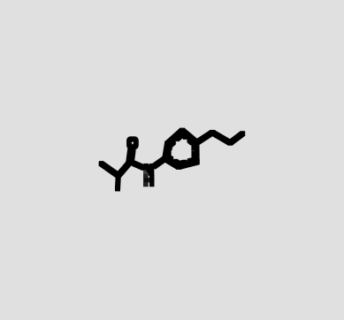 CCCc1ccc(NC(=O)C(C)C)cc1